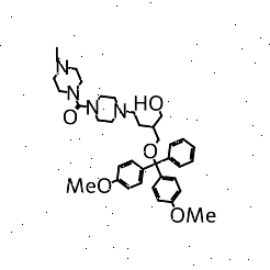 COc1ccc(C(OCC(CO)CCN2CCN(C(=O)N3CCN(I)CC3)CC2)(c2ccccc2)c2ccc(OC)cc2)cc1